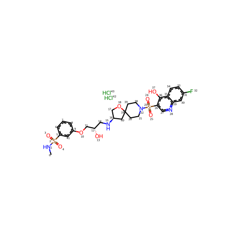 CNS(=O)(=O)c1cccc(OC[C@@H](O)CN[C@H]2COC3(CCN(S(=O)(=O)c4cnc5cc(F)ccc5c4O)CC3)C2)c1.Cl.Cl